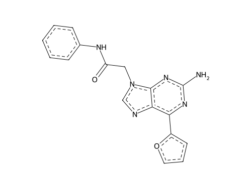 Nc1nc(-c2ccco2)c2ncn(CC(=O)Nc3ccccc3)c2n1